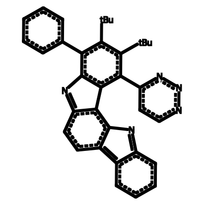 CC(C)(C)c1c(-c2ccccc2)c2c(c(-c3ccnnn3)c1C(C)(C)C)-c1c3c(ccc1=N2)=c1ccccc1=N3